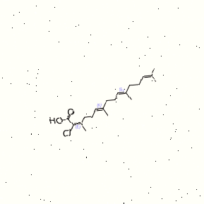 CC(C)=CCC/C(C)=C/CC/C(C)=C/CC/C(C)=C(/Cl)C(=O)O